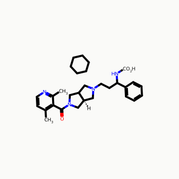 C1CCCCC1.Cc1ccnc(C)c1C(=O)N1CC2CN(CCC(NC(=O)O)c3ccccc3)C[C@H]2C1